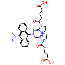 [CH]N([N])c1c2ccccc2c(N([CH]C2=NCCN2C(=O)CCCC(=O)O)N=C2NCCN2C(=O)CCCC(=O)O)c2ccccc12